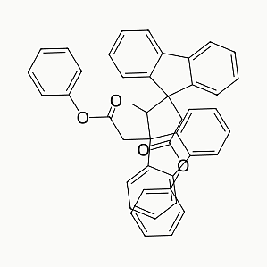 CC(C1(CC(=O)Oc2ccccc2)c2ccccc2-c2ccccc21)C1(CC(=O)Oc2ccccc2)c2ccccc2-c2ccccc21